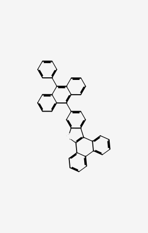 c1ccc(-c2c3ccccc3c(-c3ccc4c(c3)sc3c5ccccc5c5ccccc5c43)c3ccccc23)cc1